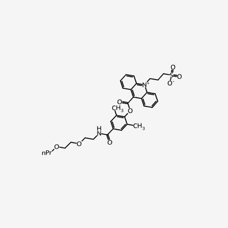 CCCOCCOCCNC(=O)c1cc(C)c(OC(=O)c2c3ccccc3[n+](CCCS(=O)(=O)[O-])c3ccccc23)c(C)c1